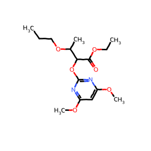 CCCOC(C)C(Oc1nc(OC)cc(OC)n1)C(=O)OCC